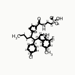 CCCC(c1ccc(C(=O)NCCS(=O)(=O)O)s1)C(c1ccc(Cl)cc1)c1c[nH]c2c(F)cc(C)cc12